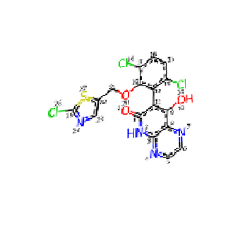 O=c1[nH]c2nccnc2c(O)c1-c1c(Cl)ccc(Cl)c1OCc1cnc(Cl)s1